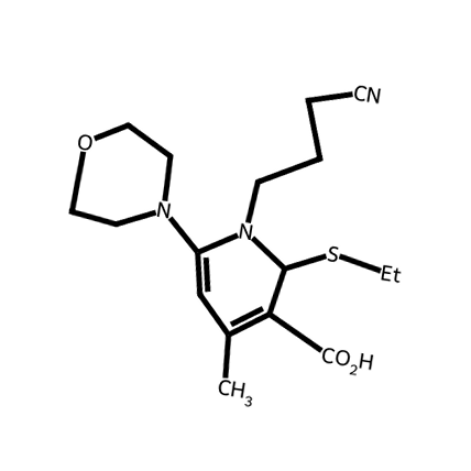 CCSC1C(C(=O)O)=C(C)C=C(N2CCOCC2)N1CCCC#N